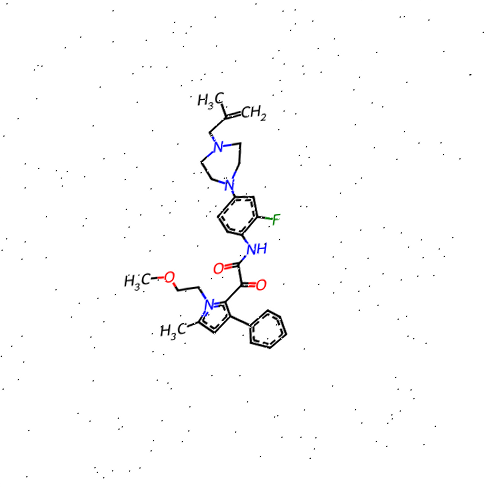 C=C(C)CN1CCN(c2ccc(NC(=O)C(=O)c3c(-c4ccccc4)cc(C)n3CCOC)c(F)c2)CC1